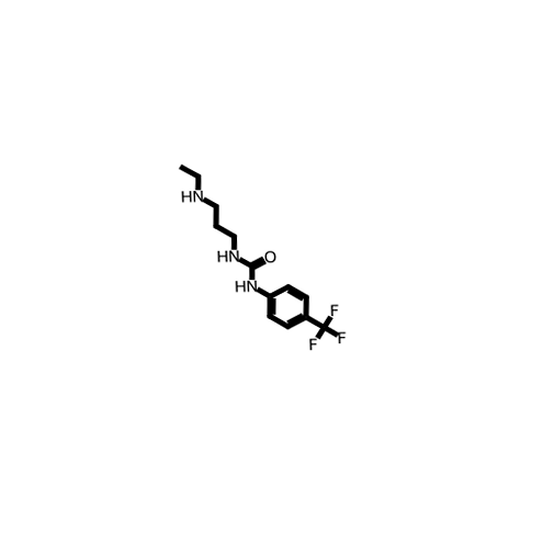 CCNCCCNC(=O)Nc1ccc(C(F)(F)F)cc1